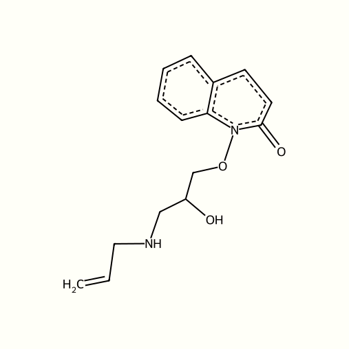 C=CCNCC(O)COn1c(=O)ccc2ccccc21